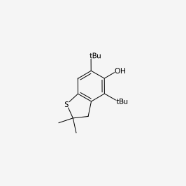 CC1(C)Cc2c(cc(C(C)(C)C)c(O)c2C(C)(C)C)S1